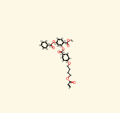 C=CC(=O)OCCCCOc1ccc(C(=O)Oc2cc(OC(=O)c3ccccc3)ccc2C(=O)OC)cc1